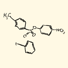 Cc1ccc(S(=O)(=O)Oc2ccc([N+](=O)[O-])cc2)cc1.Ic1ccccc1